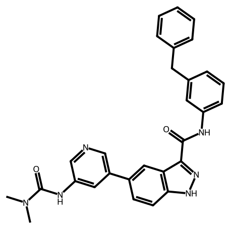 CN(C)C(=O)Nc1cncc(-c2ccc3[nH]nc(C(=O)Nc4cccc(Cc5ccccc5)c4)c3c2)c1